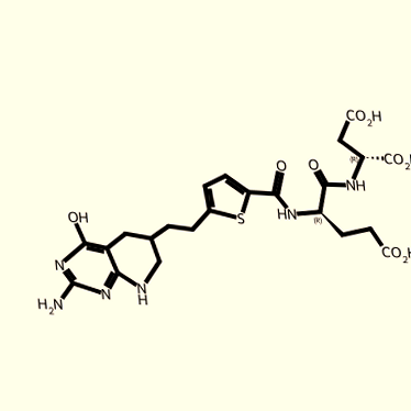 Nc1nc(O)c2c(n1)NCC(CCc1ccc(C(=O)N[C@H](CCC(=O)O)C(=O)N[C@H](CC(=O)O)C(=O)O)s1)C2